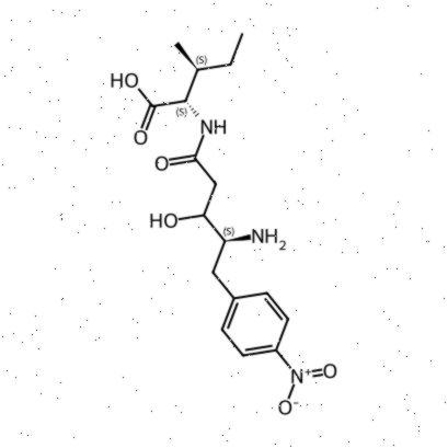 CC[C@H](C)[C@H](NC(=O)CC(O)[C@@H](N)Cc1ccc([N+](=O)[O-])cc1)C(=O)O